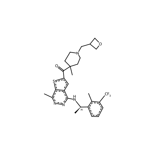 Cc1c([C@@H](C)Nc2nnc(C)c3sc(C(=O)C4(C)CCN(CC5COC5)CC4)cc23)cccc1C(F)(F)F